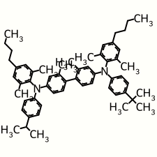 CCCCc1cc(C)c(N(c2ccc(C(C)C)cc2)c2ccc(-c3ccc(N(c4ccc(C(C)(C)C)cc4)c4c(C)cc(CCCC)cc4C)cc3C)c(C)c2)c(C)c1